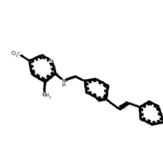 Nc1cc(C(Cl)(Cl)Cl)cnc1NCc1ccc(/C=C/c2ccccc2)cc1